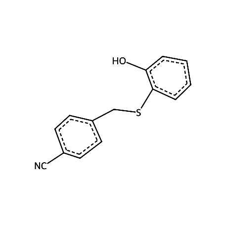 N#Cc1ccc(CSc2ccccc2O)cc1